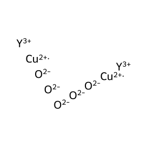 [Cu+2].[Cu+2].[O-2].[O-2].[O-2].[O-2].[O-2].[Y+3].[Y+3]